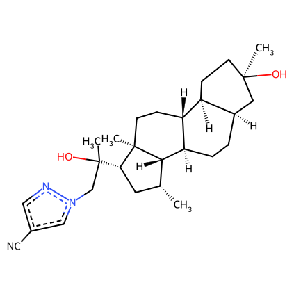 C[C@@H]1C[C@H](C(C)(O)Cn2cc(C#N)cn2)[C@@]2(C)CC[C@H]3[C@@H](CC[C@@H]4C[C@](C)(O)CC[C@@H]43)[C@H]12